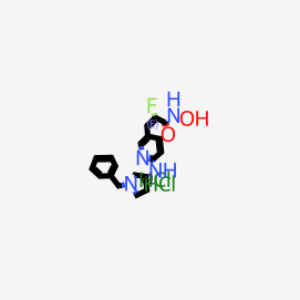 Cl.Cl.O=C(NO)/C(F)=C\c1ccc(N[C@@H]2CCN(Cc3ccccc3)C2)nc1